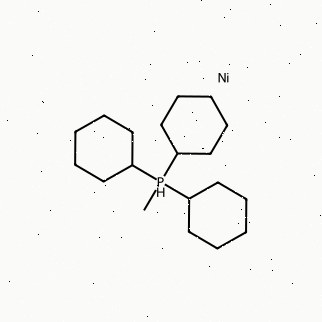 C[PH](C1CCCCC1)(C1CCCCC1)C1CCCCC1.[Ni]